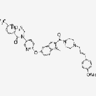 COc1ccc(/C=C/CN2CCN(C(=O)c3cc4cc(Oc5ccc(N(CS(=O)(=O)O)C(=O)c6ccc(C(F)(F)F)cc6)cn5)ccc4n3C)CC2)cc1